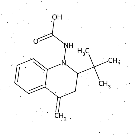 C=C1CC(C(C)(C)C)N(NC(=O)O)c2ccccc21